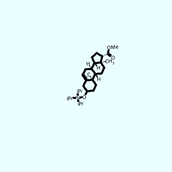 COC(=O)[C@H]1CC[C@H]2[C@@H]3CC=C4CC(O[Si](C(C)C)(C(C)C)C(C)C)CC[C@]4(C)[C@H]3CC[C@]12C